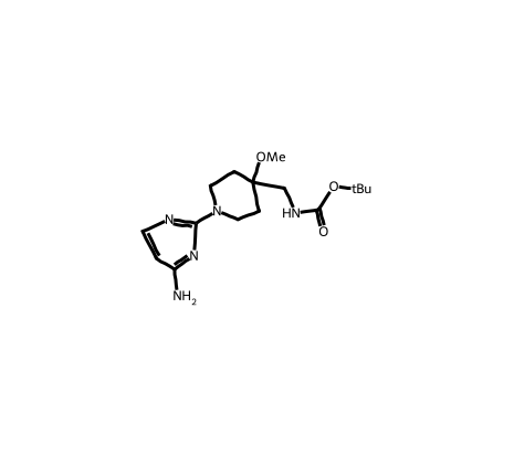 COC1(CNC(=O)OC(C)(C)C)CCN(c2nccc(N)n2)CC1